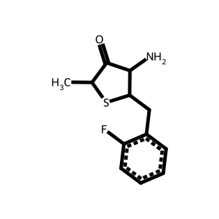 CC1SC(Cc2ccccc2F)C(N)C1=O